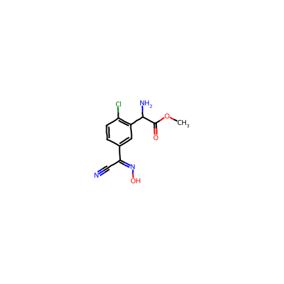 COC(=O)C(N)c1cc(/C(C#N)=N/O)ccc1Cl